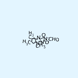 Cc1cc2nc3c(=O)n(CC=O)c(=O)nc-3n(C)c2cc1C